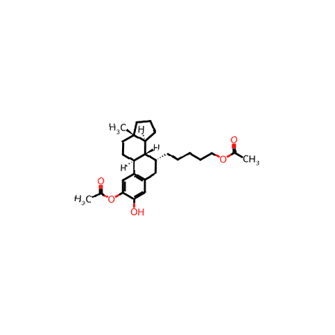 CC(=O)OCCCCC[C@@H]1Cc2cc(O)c(OC(C)=O)cc2[C@H]2CC[C@]3(C)CCC[C@H]3[C@H]12